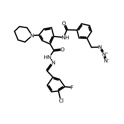 [N-]=[N+]=NCc1cccc(C(=O)Nc2ccc(N3CCCCC3)cc2C(=O)N/N=C/c2ccc(Cl)c(F)c2)c1